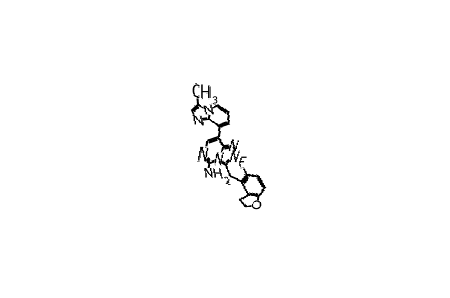 Cc1cnc2c(-c3cnc(N)n4c(Cc5c(F)ccc6c5CCO6)nnc34)cccn12